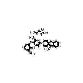 Nc1nc(N2CCC3(CC2)Cc2ccccc2[C@H]3N)c(F)nc1Sc1ccnc(N)c1Cl.O=S(=O)(O)CCO